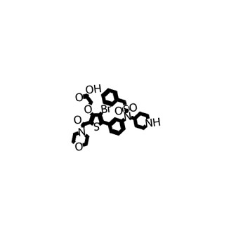 O=C(O)COc1c(C(=O)N2CCOCC2)sc(-c2cccc(N(C3CCNCC3)S(=O)(=O)Cc3ccccc3)c2)c1Br